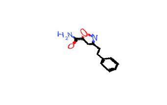 NC(=O)C1CC(CCc2ccccc2)=NO1